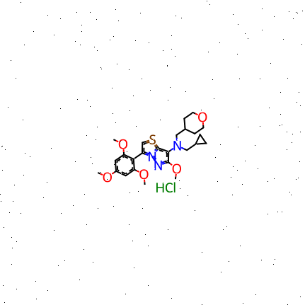 COc1cc(OC)c(-c2csc3c(N(CC4CCOCC4)CC4CC4)c(OC)nn23)c(OC)c1.Cl